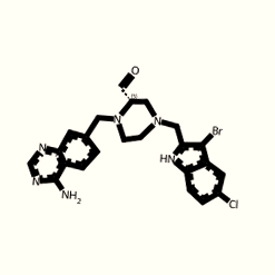 Nc1ncnc2cc(CN3CCN(Cc4[nH]c5ccc(Cl)cc5c4Br)C[C@H]3C=O)ccc12